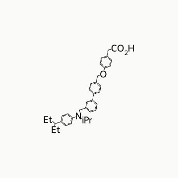 CCC(CC)c1ccc(N(Cc2cccc(-c3ccc(COc4ccc(CC(=O)O)cc4)cc3)c2)C(C)C)cc1